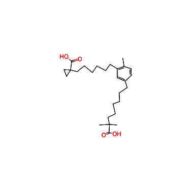 Cc1ccc(CCCCCCC(C)(C)C(=O)O)cc1CCCCCCC1(C(=O)O)CC1